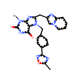 CCn1c(=O)[nH]c(=O)c2c1nc(Cc1cn3ccccc3n1)n2Cc1ccc(-c2noc(C)n2)cc1